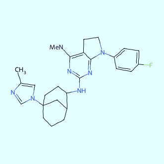 CNc1nc(NC2CCC3(n4cnc(C)c4)CCCC2C3)nc2c1CCN2c1ccc(F)cc1